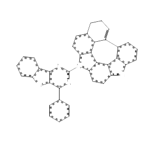 C1=C2c3cccc4oc5ccc6c(c7c2c(ccc7n6-c2nc(-c6ccccc6)c6oc7ccccc7c6n2)CC1)c5c34